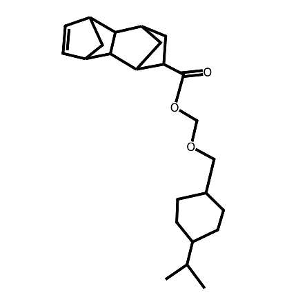 CC(C)C1CCC(COCOC(=O)C2CC3CC2C2C4C=CC(C4)C32)CC1